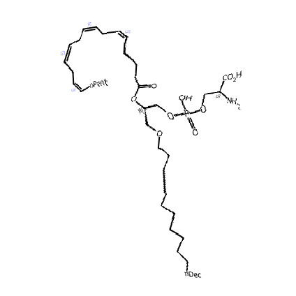 CCCCC/C=C\C/C=C\C/C=C\C/C=C\CCCC(=O)O[C@H](COCCCCCCCCCCCCCCCCCCCC)COP(=O)(O)OC[C@H](N)C(=O)O